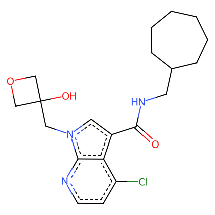 O=C(NCC1CCCCCC1)c1cn(CC2(O)COC2)c2nccc(Cl)c12